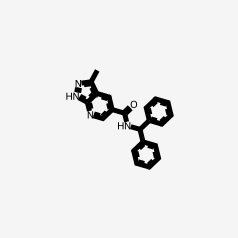 Cc1n[nH]c2ncc(C(=O)NC(c3ccccc3)c3ccccc3)cc12